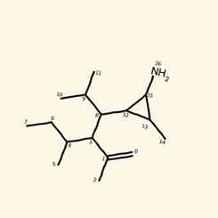 C=C(C)C(C(C)CC)C(C(C)C)C1C(C)C1N